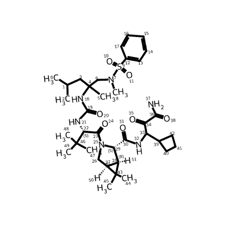 CC(C)CC(C)(CN(C)S(=O)(=O)c1ccccc1)NC(=O)N[C@H](C(=O)N1C[C@H]2[C@@H]([C@H]1C(=O)NC(C(=O)C(N)=O)C1CCC1)C2(C)C)C(C)(C)C